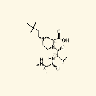 CN[C@@H](C)C(=O)N[C@H](C(=O)N1CCN(CCC(C)(C)C)C[C@H]1C(=O)O)C(C)C